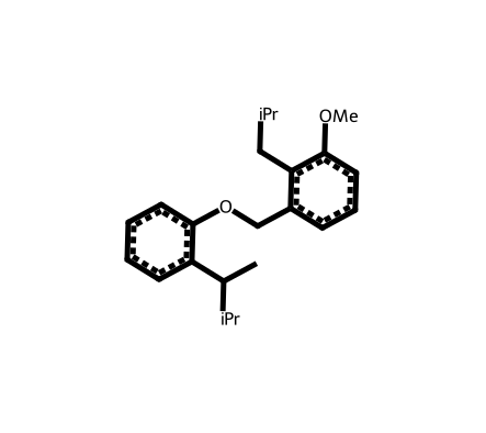 COc1cccc(COc2ccccc2C(C)C(C)C)c1CC(C)C